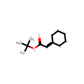 CC(C)(C)OC(=O)C=C1[CH]CCCC1